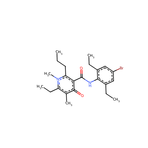 CCCc1c(C(=O)Nc2c(CC)cc(Br)cc2CC)c(=O)c(C)c(CC)n1C